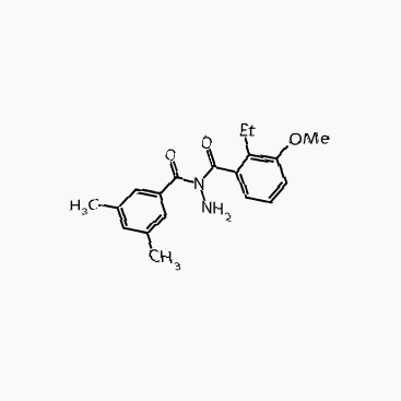 CCc1c(OC)cccc1C(=O)N(N)C(=O)c1cc(C)cc(C)c1